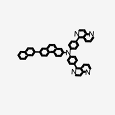 c1ccc2cc(-c3ccc4c(ccc5cc(N(c6ccc(-c7nccc8ncccc78)cc6)c6ccc(-c7nccc8ncccc78)cc6)ccc54)c3)ccc2c1